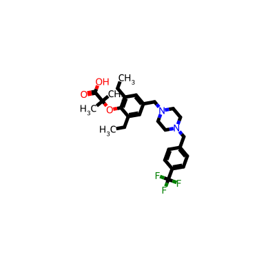 CCc1cc(CN2CCN(Cc3ccc(C(F)(F)F)cc3)CC2)cc(CC)c1OC(C)(C)C(=O)O